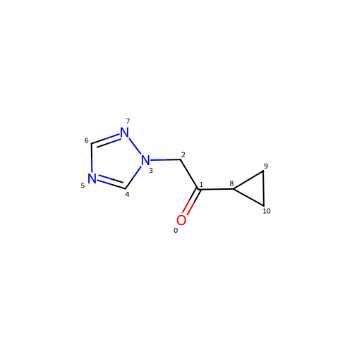 O=C(Cn1cncn1)C1CC1